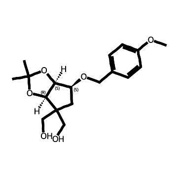 COc1ccc(CO[C@H]2CC(CO)(CO)[C@H]3OC(C)(C)O[C@@H]23)cc1